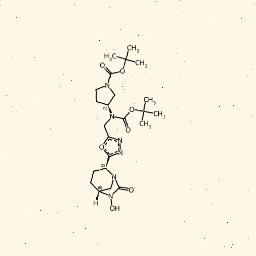 CC(C)(C)OC(=O)N1CC[C@H](N(Cc2nnc([C@@H]3CC[C@@H]4CN3C(=O)N4O)o2)C(=O)OC(C)(C)C)C1